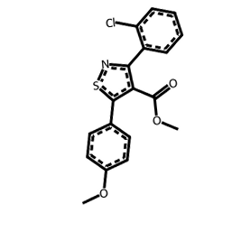 COC(=O)c1c(-c2ccccc2Cl)nsc1-c1ccc(OC)cc1